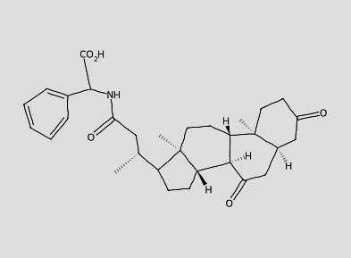 C[C@H](CC(=O)NC(C(=O)O)c1ccccc1)C1CC[C@H]2[C@@H]3C(=O)C[C@@H]4CC(=O)CC[C@]4(C)[C@H]3CC[C@]12C